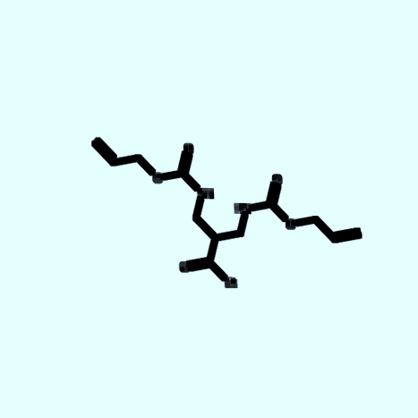 C=CCOC(=O)NCC(CNC(=O)OCC=C)C(=O)CC